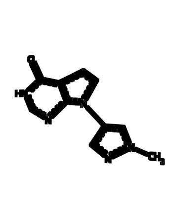 Cn1cc(-n2ccc3c(=O)[nH]cnc32)cn1